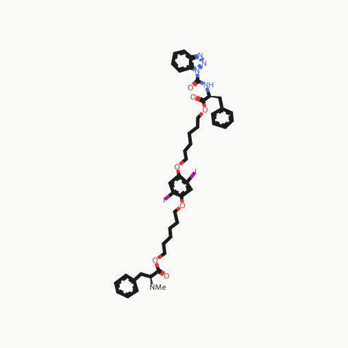 CN[C@@H](Cc1ccccc1)C(=O)OCCCCCCOc1cc(I)c(OCCCCCCOC(=O)[C@H](Cc2ccccc2)NC(=O)n2nnc3ccccc32)cc1I